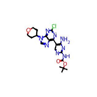 CC(C)(C)OC(=O)Nc1ncc(-c2nc(Cl)nc3c2ncn3C2CCOCC2)c(N)n1